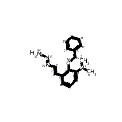 CN(C)c1cccc(/C=C/N=NN)c1OCc1ccccc1